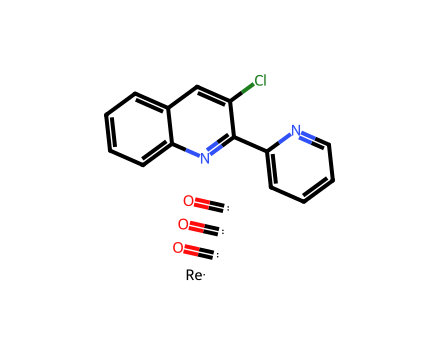 Clc1cc2ccccc2nc1-c1ccccn1.[C]=O.[C]=O.[C]=O.[Re]